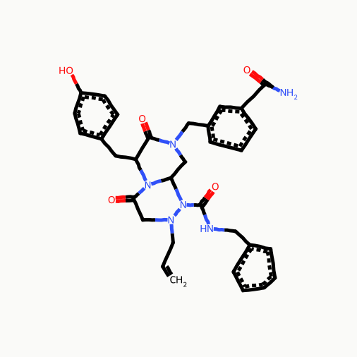 C=CCN1CC(=O)N2C(Cc3ccc(O)cc3)C(=O)N(Cc3cccc(C(N)=O)c3)CC2N1C(=O)NCc1ccccc1